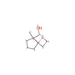 CC1(CO)CCCC12CCO2